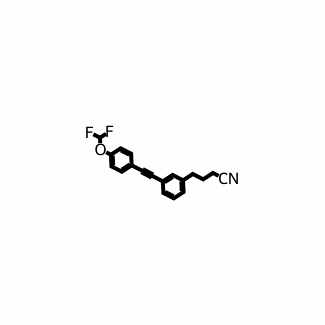 N#CCCCc1cccc(C#Cc2ccc(OC(F)F)cc2)c1